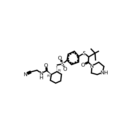 CC(C)(C)C(Sc1ccc(S(=O)(=O)C[C@@H]2CCCC[C@H]2C(=O)NCC#N)cc1)C(=O)N1CCNCC1